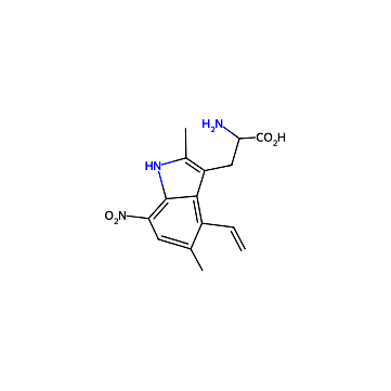 C=Cc1c(C)cc([N+](=O)[O-])c2[nH]c(C)c(CC(N)C(=O)O)c12